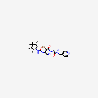 C[C@@H]1[C@@H](C)C(C)(C)[C@@H](C)C[C@H]1NC(=O)Nc1cnn(CC(=O)NCc2ccncc2)c(=O)c1Br